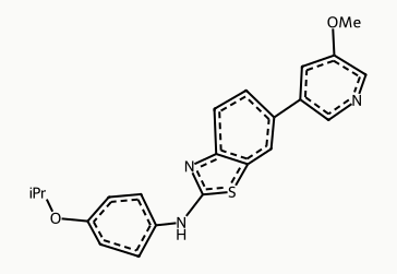 COc1cncc(-c2ccc3nc(Nc4ccc(OC(C)C)cc4)sc3c2)c1